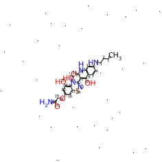 CCCCNc1ccc2c(O)c(C3=NSc4cc(OCC(N)=O)cc(O)c4N3O)c(=O)[nH]c2c1